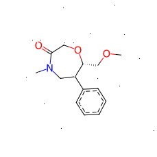 COC[C@H]1OCC(=O)N(C)CC1c1ccccc1